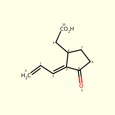 C=CC=C1C(=O)CCC1CC(=O)O